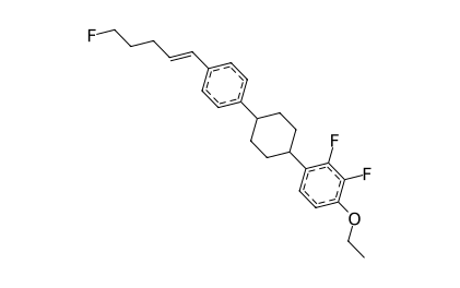 CCOc1ccc(C2CCC(c3ccc(/C=C/CCCF)cc3)CC2)c(F)c1F